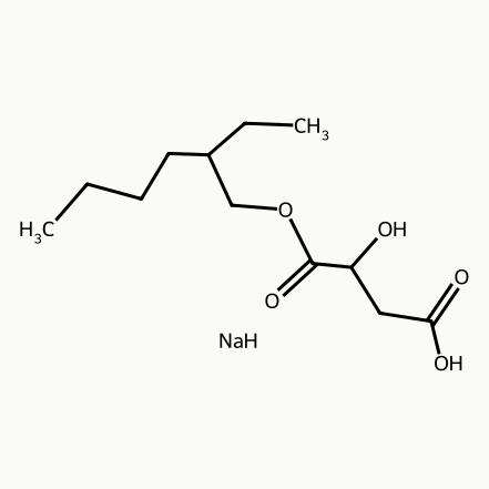 CCCCC(CC)COC(=O)C(O)CC(=O)O.[NaH]